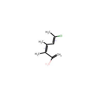 BC(=C)/C(C)=C(C)\C=C(/C)Cl